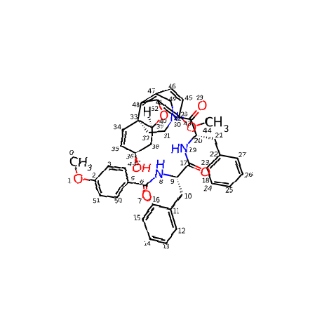 COc1ccc(C(=O)N[C@@H](Cc2ccccc2)C(=O)N[C@@H](Cc2ccccc2)C(=O)N2CC[C@@]34C=C[C@H](O)C[C@@H]3Oc3c(OC)ccc(c34)C2)cc1